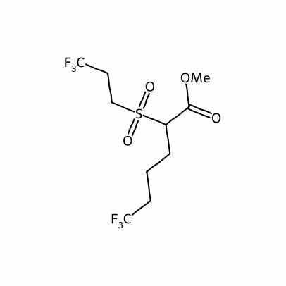 COC(=O)C(CCCC(F)(F)F)S(=O)(=O)CCC(F)(F)F